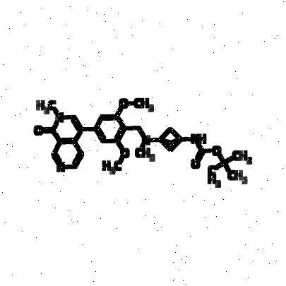 COc1cc(-c2cn(C)c(=O)c3cnccc23)cc(OC)c1CN(C)C12CC(NC(=O)OC(C)(C)C)(C1)C2